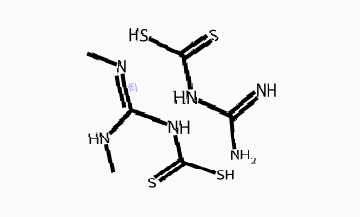 C/N=C(\NC)NC(=S)S.N=C(N)NC(=S)S